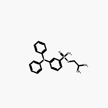 CC(C)COP(C)(=O)c1cccc(P(c2ccccc2)c2ccccc2)c1